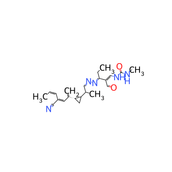 C=C(/C=C(C#N)\C=C/C)[C@H]1CC1C(C)\C=N/N=C(CC)/C(C=O)=C/NC(=O)NC